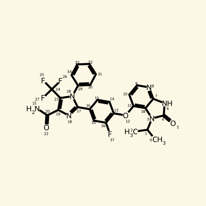 CC(C)n1c(=O)[nH]c2nccc(Oc3ccc(-c4nc(C(N)=O)c(C(F)(F)F)n4-c4ccccc4)cc3F)c21